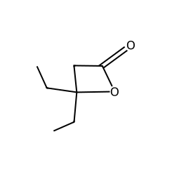 CCC1(CC)CC(=O)O1